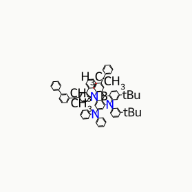 CC(C)(C)c1cccc(N2c3cc(C(C)(C)C)ccc3B3c4cc(C(C)(C)c5ccccc5)ccc4N(c4ccc(C(C)(C)c5cccc(-c6ccccc6)c5)cc4-c4ccccc4)c4cc(N(c5ccccc5)c5ccccc5)cc2c43)c1